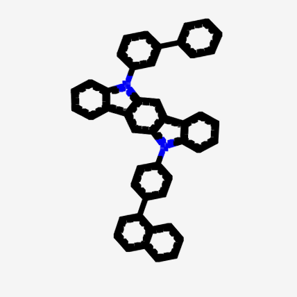 c1ccc(-c2cccc(-n3c4ccccc4c4cc5c(cc43)c3ccccc3n5-c3ccc(-c4cccc5ccccc45)cc3)c2)cc1